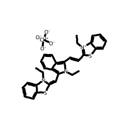 CCN1C(=Cc2c3ccccc3c(C=Cc3sc4ccccc4[n+]3CC)n2CC)Sc2ccccc21.[O-][Cl+3]([O-])([O-])[O-]